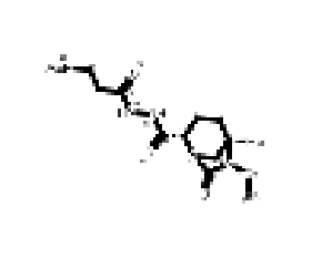 CCCCON1C(=O)N2C[C@@H]1CC[C@H]2C(=O)NNC(=O)CCNC